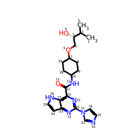 CC(C)[C@@H](O)COC1CCC(NC(=O)c2nc(-n3ccnc3)nc3cc[nH]c23)CC1